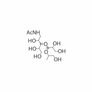 CC(=O)NCC(O)[C@H](O[C@H](OC(C)CO)C(O)CO)C(O)CO